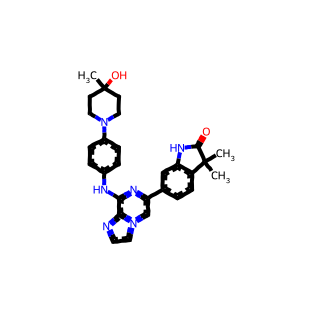 CC1(O)CCN(c2ccc(Nc3nc(-c4ccc5c(c4)NC(=O)C5(C)C)cn4ccnc34)cc2)CC1